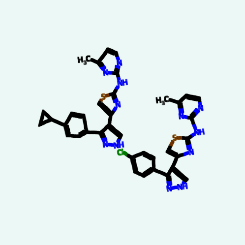 Cc1ccnc(Nc2nc(-c3c[nH]nc3-c3ccc(C4CC4)cc3)cs2)n1.Cc1ccnc(Nc2nc(-c3c[nH]nc3-c3ccc(Cl)cc3)cs2)n1